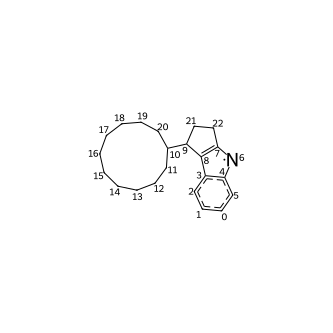 c1ccc2c(c1)[N]C1=C2C(C2CCCCCCCCCC2)CC1